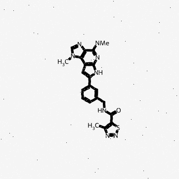 CNc1nc2[nH]c(-c3cccc(CNC(=O)c4snnc4C)c3)cc2c2c1ncn2C